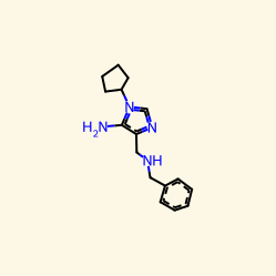 Nc1c(CNCc2ccccc2)ncn1C1CCCC1